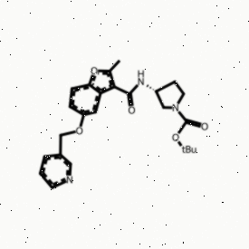 Cc1oc2ccc(OCc3cccnc3)cc2c1C(=O)N[C@@H]1CCN(C(=O)OC(C)(C)C)C1